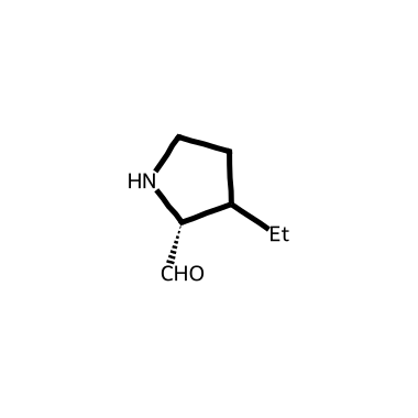 CCC1CCN[C@H]1C=O